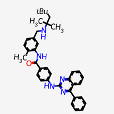 Cc1ccc(CNC(C)(C)CC(C)(C)C)cc1NC(=O)c1ccc(Nc2nc(-c3ccccc3)c3ccccc3n2)cc1